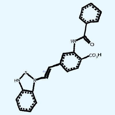 O=C(Nc1cc(/C=C/N2SNc3ccccc32)ccc1C(=O)O)c1ccccc1